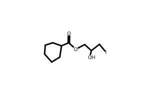 O=C(OCC(O)CI)C1CCCCC1